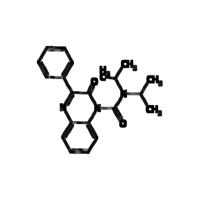 CC(C)N(C(=O)n1c(=O)c(-c2ccccc2)nc2ccccc21)C(C)C